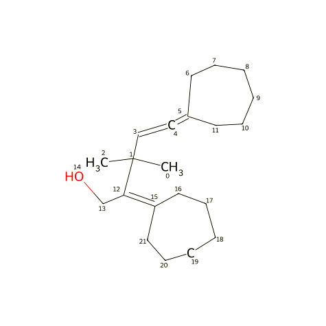 CC(C)(C=C=C1CCCCCC1)C(CO)=C1CCCCCC1